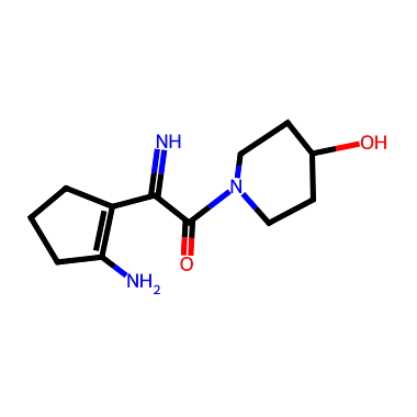 N=C(C(=O)N1CCC(O)CC1)C1=C(N)CCC1